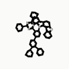 c1ccc(-c2nc(-c3ccccc3)nc(-c3cc(-c4ccc(-c5ccccc5)c(-c5ccccc5)c4)ccc3-n3c4ccccc4c4ccc5oc6ccccc6c5c43)n2)cc1